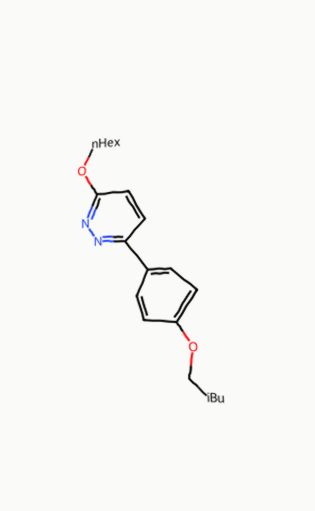 CCCCCCOc1ccc(-c2ccc(OCC(C)CC)cc2)nn1